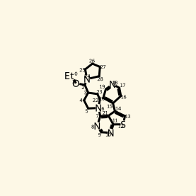 CCOC(C1CCN(c2ncnc3scc(-c4ccncc4)c23)CC1)N1CCCC1